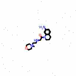 C[N+]1(CCNCC(=O)N2CCCc3ccc(N)cc32)CCOCC1